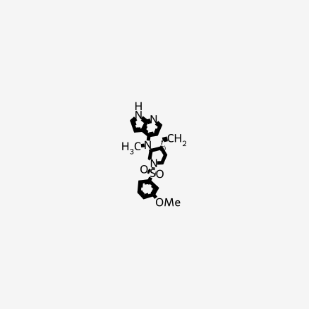 C=C[C@@H]1CCN(S(=O)(=O)c2cccc(OC)c2)CC1N(C)c1ccnc2[nH]ccc12